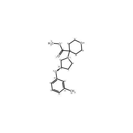 COC(=O)C1(N2CC[C@@H](Oc3cccc(C)c3)C2)CCOCC1